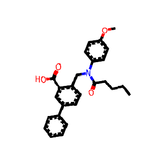 CCCCC(=O)N(Cc1ccc(-c2ccccc2)cc1C(=O)O)c1ccc(OC)cc1